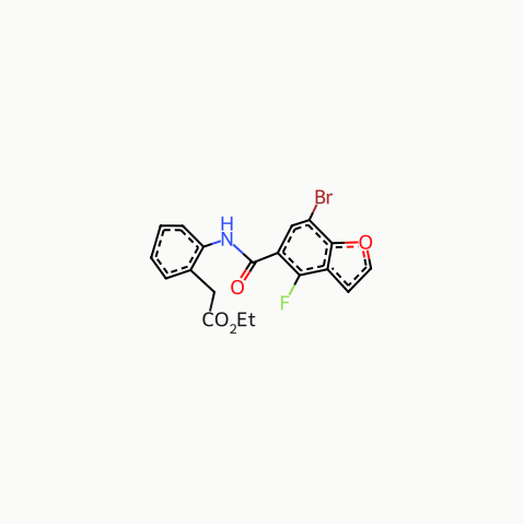 CCOC(=O)Cc1ccccc1NC(=O)c1cc(Br)c2occc2c1F